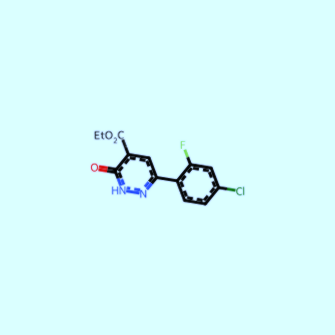 CCOC(=O)c1cc(-c2ccc(Cl)cc2F)n[nH]c1=O